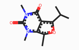 Cc1oc(C(C)C)c2c(=O)n(C)c(=O)n(C)c12